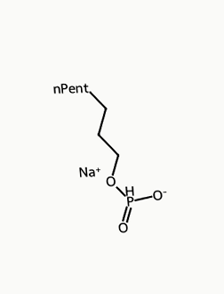 CCCCCCCCO[PH](=O)[O-].[Na+]